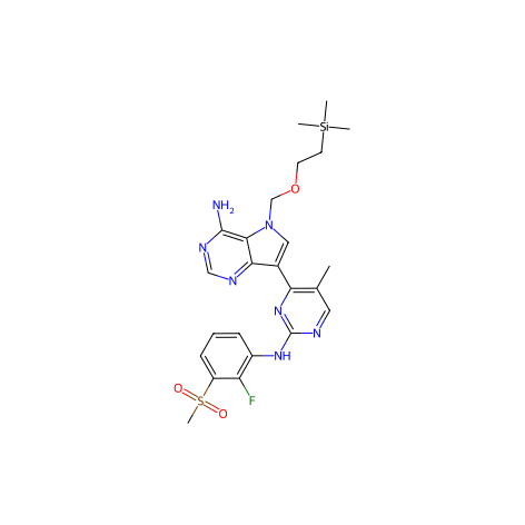 Cc1cnc(Nc2cccc(S(C)(=O)=O)c2F)nc1-c1cn(COCC[Si](C)(C)C)c2c(N)ncnc12